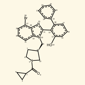 O=C(C1CC1)N1CC[C@@H](Cn2c(-c3c(O)cccc3-c3ccccc3)nc3c(Br)cccc32)C1